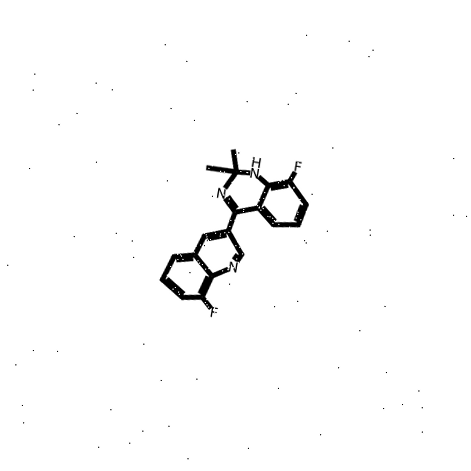 CC1(C)N=C(c2cnc3c(F)cccc3c2)c2cccc(F)c2N1